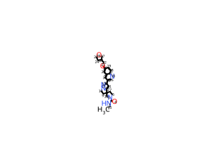 CCNC(=O)N1CCC2(CCn3nc(-c4cnc5ccc(OCC6CCOC6)cc5c4)cc32)C1